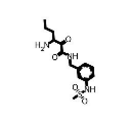 CCCC(N)C(=O)C(=O)NCc1cccc(NS(C)(=O)=O)c1